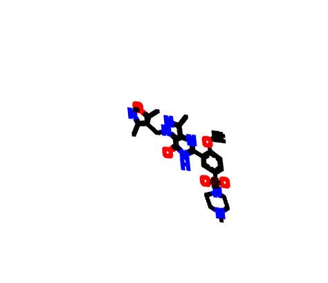 CCOc1ccc(S(=O)(=O)N2CCN(C)CC2)cc1-c1nc2c(C)nn(Cc3c(C)noc3C)c2c(=O)[nH]1